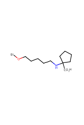 CCOCCCCCNC1(C(=O)O)CCCC1